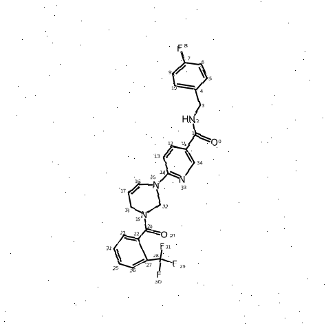 O=C(NCc1ccc(F)cc1)c1ccc(N2C=CCN(C(=O)c3ccccc3C(F)(F)F)C2)nc1